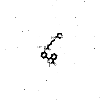 Cl.O=C(CCCCNC1CCOC1)Nc1cccc(-c2n[nH]c(=O)c3ccccc23)c1